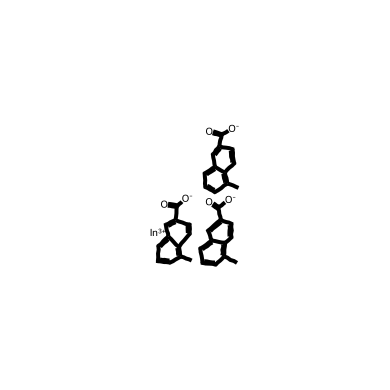 Cc1cccc2cc(C(=O)[O-])ccc12.Cc1cccc2cc(C(=O)[O-])ccc12.Cc1cccc2cc(C(=O)[O-])ccc12.[In+3]